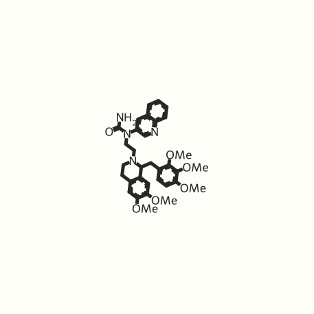 COc1cc2c(cc1OC)C(Cc1ccc(OC)c(OC)c1OC)N(CCN(C(N)=O)c1cnc3ccccc3c1)CC2